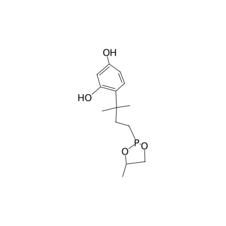 CC1COP(CCC(C)(C)c2ccc(O)cc2O)O1